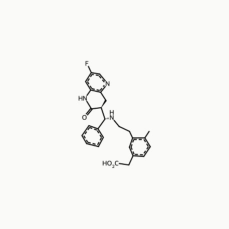 Cc1ccc(CC(=O)O)cc1CCN[C@H](c1ccccc1)[C@@H]1Cc2ncc(F)cc2NC1=O